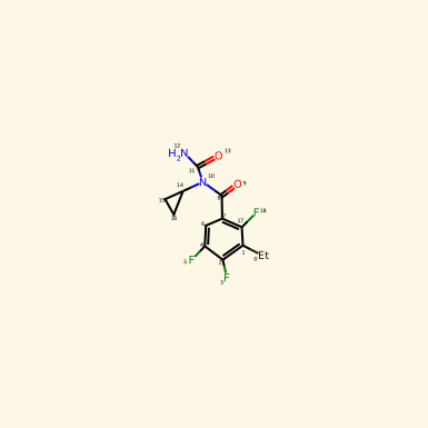 CCc1c(F)c(F)cc(C(=O)N(C(N)=O)C2CC2)c1F